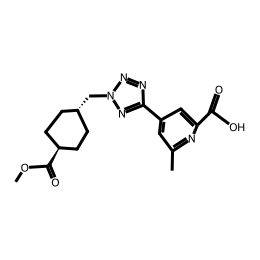 COC(=O)[C@H]1CC[C@H](Cn2nnc(-c3cc(C)nc(C(=O)O)c3)n2)CC1